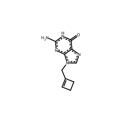 Nc1nc2c(ncn2CC2=CCC2)c(=O)[nH]1